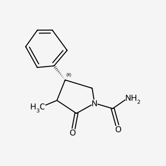 CC1C(=O)N(C(N)=O)C[C@H]1c1ccccc1